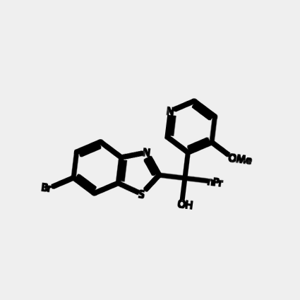 CCCC(O)(c1nc2ccc(Br)cc2s1)c1cnccc1OC